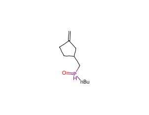 C=C1CCC(C[PH](=O)CCCC)C1